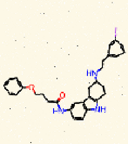 O=C(CCCOc1ccccc1)Nc1ccc2[nH]c3c(c2c1)CC(NCCc1cccc(I)c1)CC3